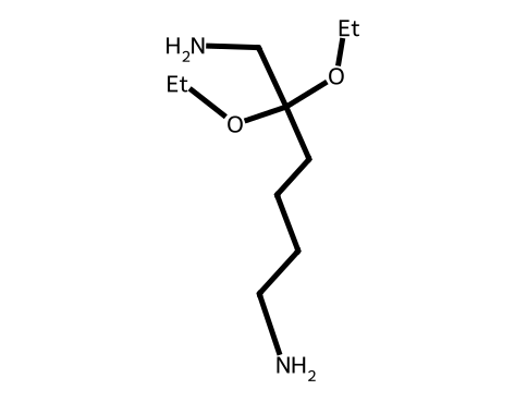 CCOC(CN)(CCCCN)OCC